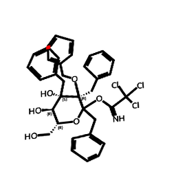 N=C(OC1(Cc2ccccc2)O[C@H](CO)[C@@H](O)[C@@](O)(Cc2ccccc2)[C@@]1(Cc1ccccc1)OCc1ccccc1)C(Cl)(Cl)Cl